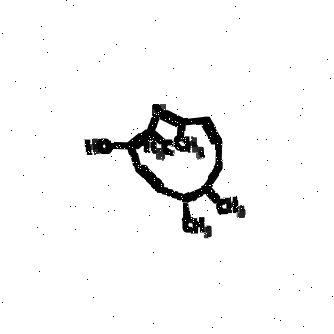 CC1=C(O)\C=C/[C@@H](C)C(C)C/C=C\C(C)=N\1